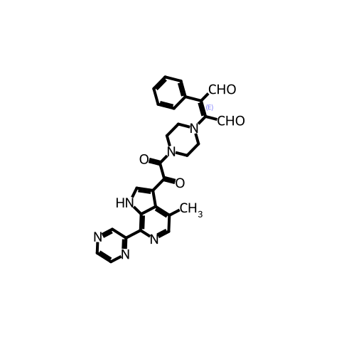 Cc1cnc(-c2cnccn2)c2[nH]cc(C(=O)C(=O)N3CCN(/C(C=O)=C(/C=O)c4ccccc4)CC3)c12